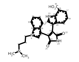 CN(C)CCCn1cc(C2=C(c3c[nH]c4c(C(=O)O)cccc34)C(=O)NC2=O)c2ccccc21